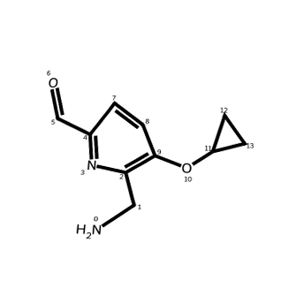 NCc1nc(C=O)ccc1OC1CC1